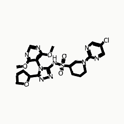 COc1ncnc(OC)c1-n1c(NS(=O)(=O)C2CCCN(c3ncc(Cl)cn3)C2)nnc1C1CCCO1